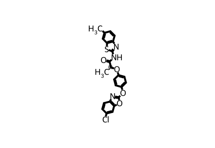 Cc1ccc2nc(NC(=O)[C@@H](C)Oc3ccc(Oc4nc5ccc(Cl)cc5o4)cc3)sc2c1